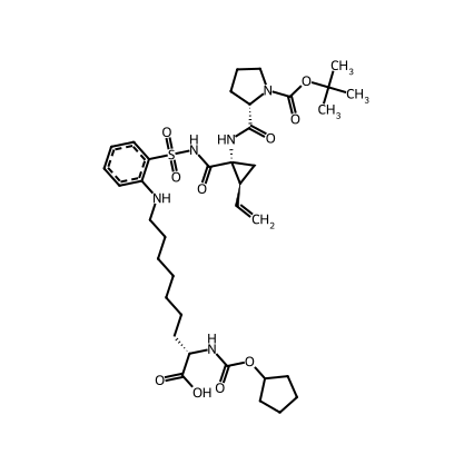 C=C[C@@H]1C[C@]1(NC(=O)[C@@H]1CCCN1C(=O)OC(C)(C)C)C(=O)NS(=O)(=O)c1ccccc1NCCCCCCC[C@H](NC(=O)OC1CCCC1)C(=O)O